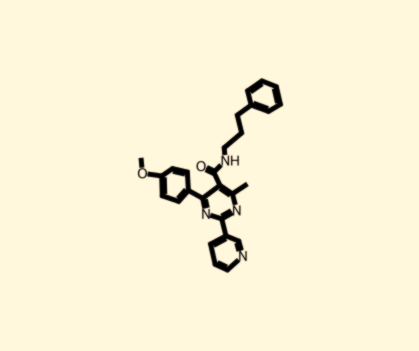 COc1ccc(-c2nc(-c3cccnc3)nc(C)c2C(=O)NCCCc2ccccc2)cc1